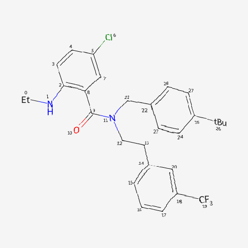 CCNc1ccc(Cl)cc1C(=O)N(CCc1cccc(C(F)(F)F)c1)Cc1ccc(C(C)(C)C)cc1